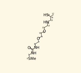 CSCNC(=O)NCCOCCOCCNCC(C)S